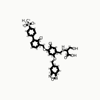 CS(=O)(=O)c1ccc(-c2cccc(COc3cc(OCc4ccc5nonc5c4)c(CNC(CO)C(=O)O)cc3Cl)c2Cl)cc1